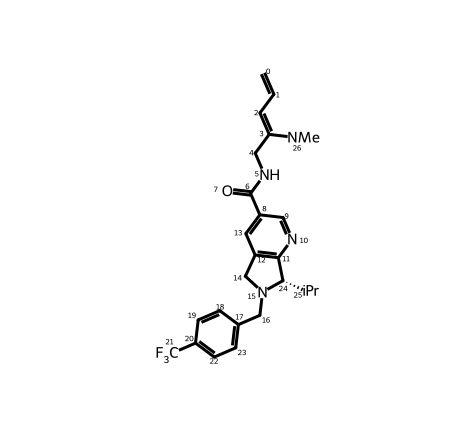 C=C/C=C(/CNC(=O)c1cnc2c(c1)CN(Cc1ccc(C(F)(F)F)cc1)[C@H]2C(C)C)NC